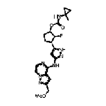 COCc1cc2c(Nc3cc([C@H]4CC[C@@H](OC(=O)NC5(C)CC5)[C@H]4F)[nH]n3)nccn2n1